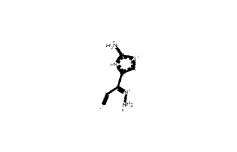 NN=C(C=S)c1csc(N)n1